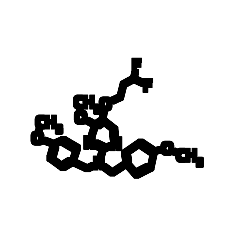 COc1ccc(CN(Cc2ccc(OC)cc2)c2ncc(OCCC(F)F)c(OC)n2)cc1